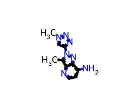 Cc1c2nccc(N)c2nn1-c1cn(C)nn1